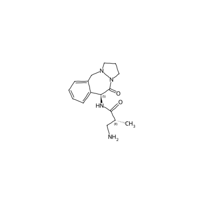 C[C@H](CN)C(=O)N[C@@H]1C(=O)N2CCCN2Cc2ccccc21